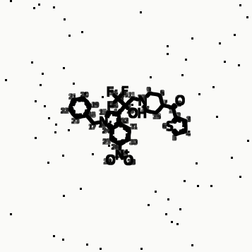 O=C(c1cccs1)C1CCN(CC(O)(c2cn(Cc3ccccc3)c3cc([N+](=O)[O-])ccc23)C(F)(F)F)CC1